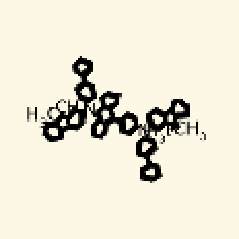 CC1(C)c2ccccc2-c2ccc(N(c3ccc(-c4ccccc4)cc3)c3ccc(-c4c5ccccc5c(N(c5ccc(-c6ccccc6)cc5)c5ccc6c(c5)C(C)(C)c5ccccc5-6)c5ccccc45)cc3)cc21